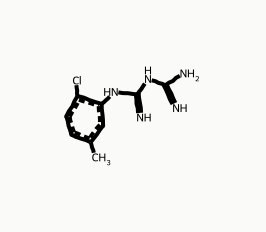 Cc1ccc(Cl)c(NC(=N)NC(=N)N)c1